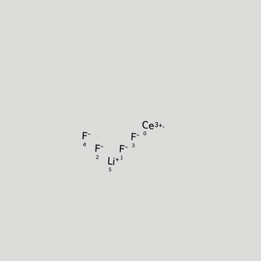 [Ce+3].[F-].[F-].[F-].[F-].[Li+]